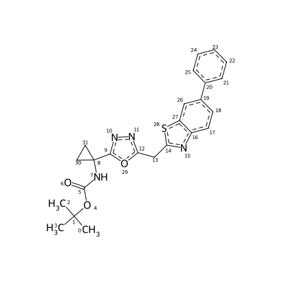 CC(C)(C)OC(=O)NC1(c2nnc(Cc3nc4ccc(-c5ccccc5)cc4s3)o2)CC1